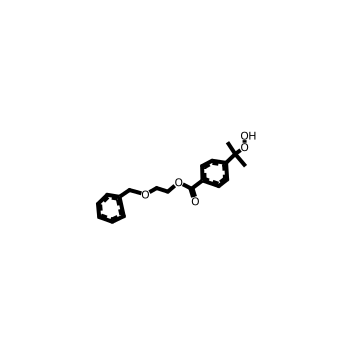 CC(C)(OO)c1ccc(C(=O)OCCOCc2ccccc2)cc1